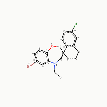 CCN1C[C@@]2(CCCc3cc(Cl)ccc32)COc2ccc(Br)cc21